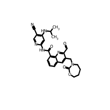 CC(C)Nc1cc(NC(=O)c2cccc3cc(CN4CCCCOC4=O)c(C=O)nc23)ncc1C#N